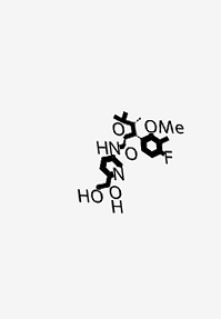 COc1c([C@@H]2[C@@H](C(=O)Nc3ccc([C@@H](O)CO)nc3)OC(C)(C)[C@@H]2C)ccc(F)c1C